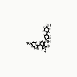 N#Cc1ccn2c(-c3ccc(Nc4ccc(N5CCC(O)CC5)cn4)c4c3CNC4=O)cnc2c1